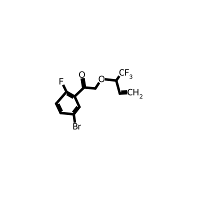 C=CC(OCC(=O)c1cc(Br)ccc1F)C(F)(F)F